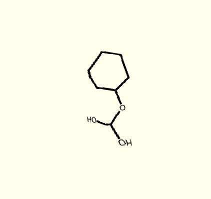 OC(O)OC1CCCCC1